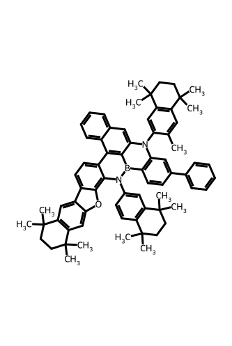 Cc1cc2c(cc1N1c3cc(-c4ccccc4)ccc3B3c4c1cc1ccccc1c4-c1ccc4c(oc5cc6c(cc54)C(C)(C)CCC6(C)C)c1N3c1ccc3c(c1)C(C)(C)CCC3(C)C)C(C)(C)CCC2(C)C